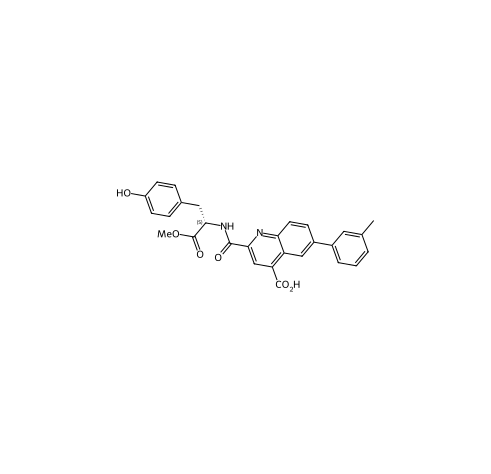 COC(=O)[C@H](Cc1ccc(O)cc1)NC(=O)c1cc(C(=O)O)c2cc(-c3cccc(C)c3)ccc2n1